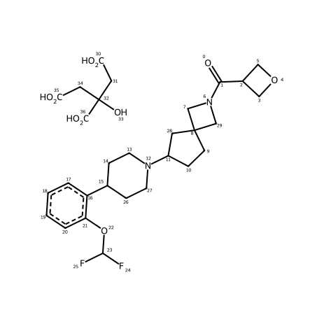 O=C(C1COC1)N1CC2(CCC(N3CCC(c4ccccc4OC(F)F)CC3)C2)C1.O=C(O)CC(O)(CC(=O)O)C(=O)O